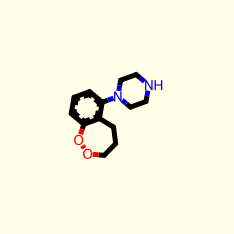 c1cc2c(c(N3CCNCC3)c1)CCCOO2